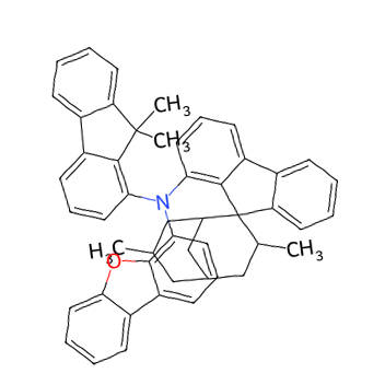 CC1CC2CC(C)C3(c4ccccc4-c4cccc(N(c5cccc6c5C(C)(C)c5ccccc5-6)c5cccc6c5oc5ccccc56)c43)C(C1)C2